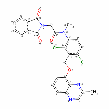 Cc1cnc2cccc(OCc3c(Cl)ccc(N(C)C(=O)CN4C(=O)c5ccccc5C4=O)c3Cl)c2n1